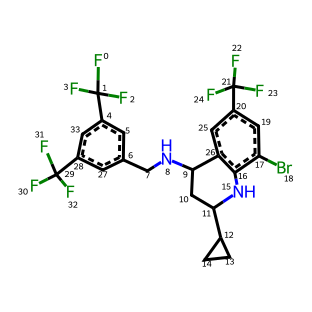 FC(F)(F)c1cc(CNC2CC(C3CC3)Nc3c(Br)cc(C(F)(F)F)cc32)cc(C(F)(F)F)c1